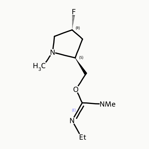 CC/N=C(\NC)OC[C@@H]1C[C@@H](F)CN1C